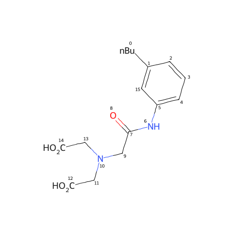 CCCCc1cccc(NC(=O)CN(CC(=O)O)CC(=O)O)c1